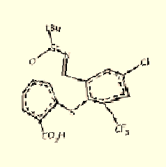 CC(C)(C)[S+]([O-])N=Cc1cc(Cl)cc(C(F)(F)F)c1Sc1ccccc1C(=O)O